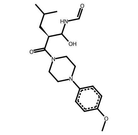 COc1ccc(N2CCN(C(=O)[C@@H](CC(C)C)C(O)NC=O)CC2)cc1